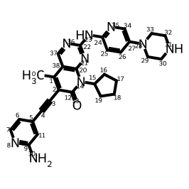 Cc1c(C#Cc2ccnc(N)c2)c(=O)n(C2CCCC2)c2nc(Nc3ccc(N4CCNCC4)cn3)ncc12